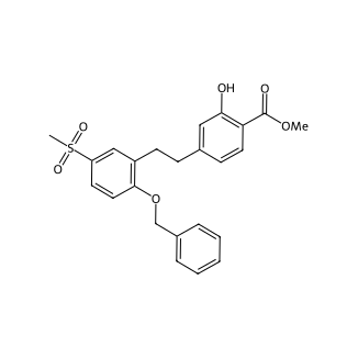 COC(=O)c1ccc(CCc2cc(S(C)(=O)=O)ccc2OCc2ccccc2)cc1O